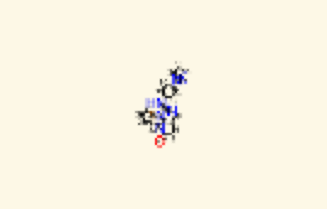 O=c1ccc2cnc(Nc3ccc(-n4cccn4)cc3)nc2n1Cc1cccs1